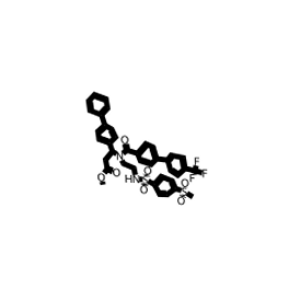 COC(=O)CC(c1ccc(-c2ccccc2)cc1)N(CCNS(=O)(=O)c1ccc(S(C)(=O)=O)cc1)C(=O)c1ccc(-c2ccc(C(F)(F)F)cc2)cc1